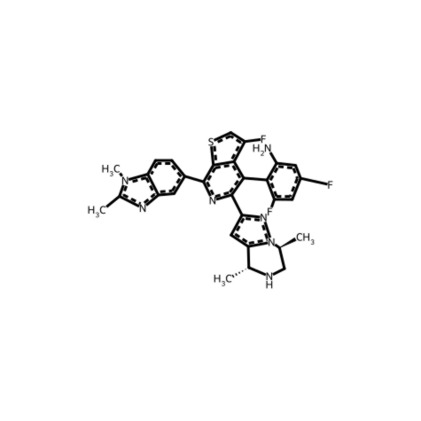 Cc1nc2cc(-c3nc(-c4cc5n(n4)[C@@H](C)CN[C@@H]5C)c(-c4c(N)cc(F)cc4F)c4c(F)csc34)ccc2n1C